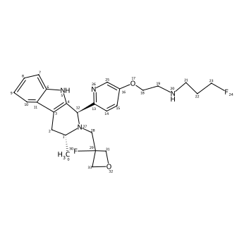 C[C@@H]1Cc2c([nH]c3ccccc23)[C@@H](c2ccc(OCCNCCCF)cn2)N1CC1(F)COC1